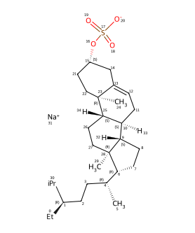 CC[C@H](CC[C@@H](C)[C@H]1CC[C@H]2[C@@H]3CC=C4C[C@@H](OS(=O)(=O)[O-])CC[C@]4(C)[C@H]3CC[C@]12C)C(C)C.[Na+]